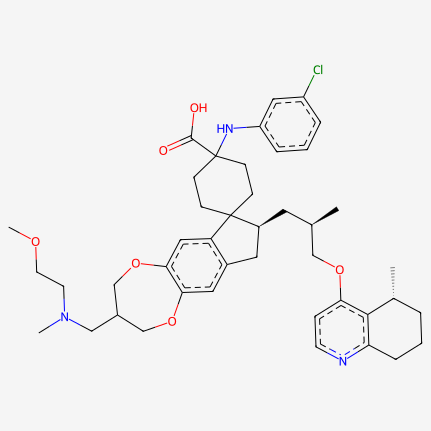 COCCN(C)CC1COc2cc3c(cc2OC1)C1(CCC(Nc2cccc(Cl)c2)(C(=O)O)CC1)[C@@H](C[C@@H](C)COc1ccnc2c1[C@H](C)CCC2)C3